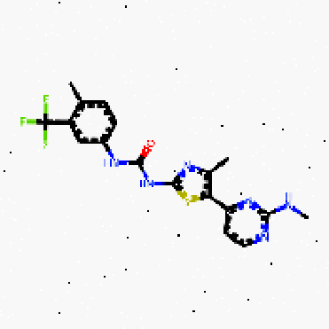 CNc1nccc(-c2sc(NC(=O)Nc3ccc(C)c(C(F)(F)F)c3)nc2C)n1